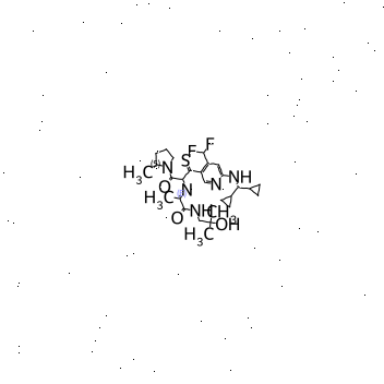 C/C(=N\C(C(=O)N1CCC[C@@H]1C)C(=S)c1cnc(NC(C2CC2)C2CC2)cc1C(F)F)C(=O)NCC(C)(C)O